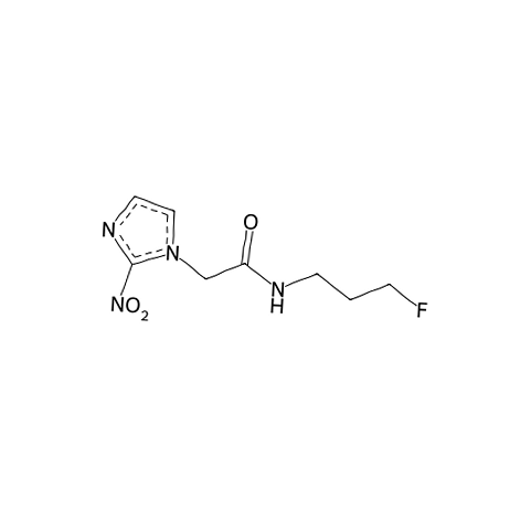 O=C(Cn1ccnc1[N+](=O)[O-])NCCCF